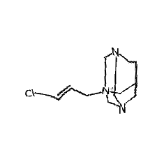 ClC=CC[N+]12CC3CN(CN(C3)C1)C2